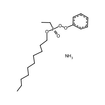 CCCCCCCCCCOP(=O)(CC)OOc1ccccc1.N